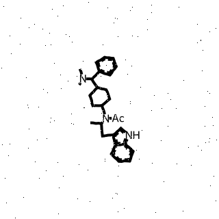 CC(=O)N(C(C)Cc1c[nH]c2ccccc12)C1CCC(C(c2ccccc2)N(C)C)CC1